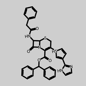 O=C(Cc1ccccc1)NC1C(=O)N2C(C(=O)OC(c3ccccc3)c3ccccc3)=C([SH]3C=CC(c4ncc[nH]4)=C3)CSC12